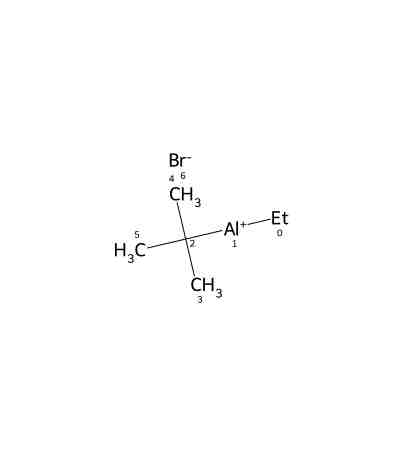 C[CH2][Al+][C](C)(C)C.[Br-]